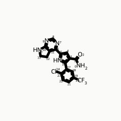 NC(=O)c1cc(-c2ncnc3c2CCN3)[nH]c1-c1cc(C(F)(F)F)ccc1Cl